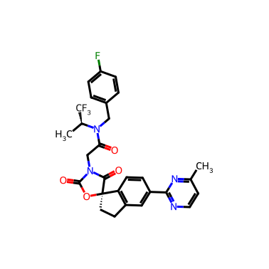 Cc1ccnc(-c2ccc3c(c2)CC[C@@]32OC(=O)N(CC(=O)N(Cc3ccc(F)cc3)[C@@H](C)C(F)(F)F)C2=O)n1